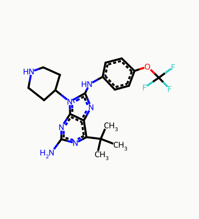 CC(C)(C)c1nc(N)nc2c1nc(Nc1ccc(OC(F)(F)F)cc1)n2C1CCNCC1